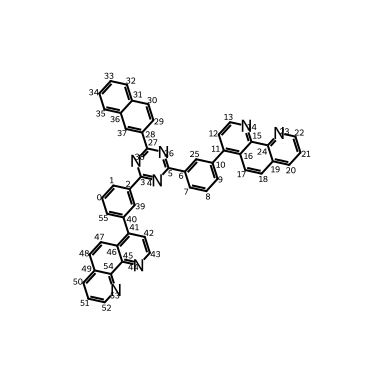 c1cc(-c2nc(-c3cccc(-c4ccnc5c4ccc4cccnc45)c3)nc(-c3ccc4ccccc4c3)n2)cc(-c2ccnc3c2ccc2cccnc23)c1